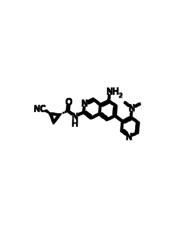 CN(C)c1ccncc1-c1cc(N)c2cnc(NC(=O)[C@@H]3C[C@H]3C#N)cc2c1